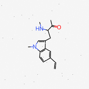 C=Cc1ccc2c(c1)c(CC(NC)C(C)=O)cn2C